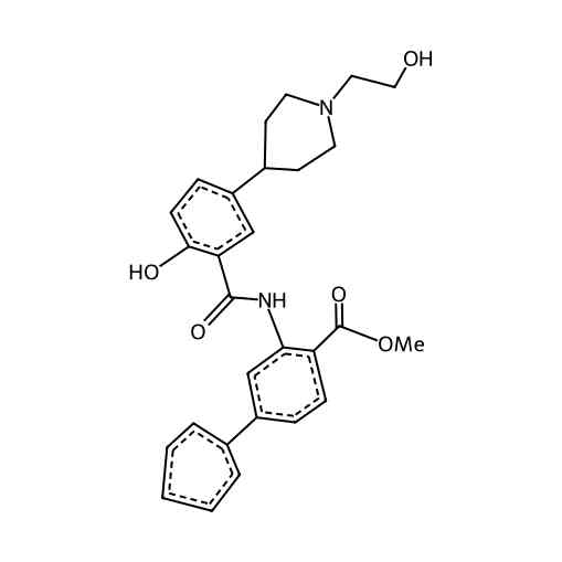 COC(=O)c1ccc(-c2ccccc2)cc1NC(=O)c1cc(C2CCN(CCO)CC2)ccc1O